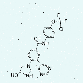 O=C(Nc1ccc(OC(F)(F)Cl)cc1)c1ccc(N2CNC(O)C2)c(-c2cncnc2)c1